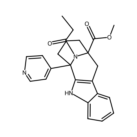 CCC(=O)N1C2(C(=O)OC)CCCC1(c1ccncc1)c1[nH]c3ccccc3c1C2